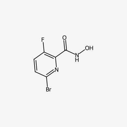 O=C(NO)c1nc(Br)ccc1F